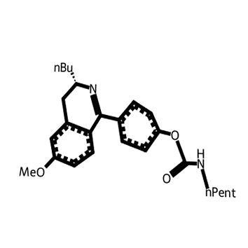 CCCCCNC(=O)Oc1ccc(C2=N[C@@H](CCCC)Cc3cc(OC)ccc32)cc1